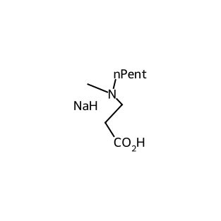 CCCCCN(C)CCC(=O)O.[NaH]